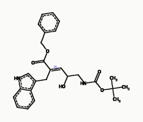 CC(C)(C)OC(=O)NCC(O)/C=C(\Cc1c[nH]c2ccccc12)C(=O)OCc1ccccc1